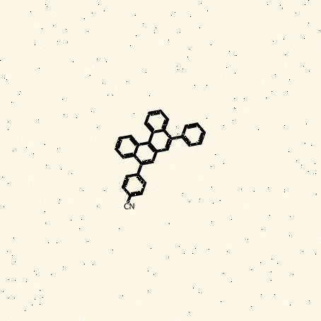 N#Cc1ccc(-c2cc3cc(-c4ccccc4)c4ccccc4c3c3ccccc23)cc1